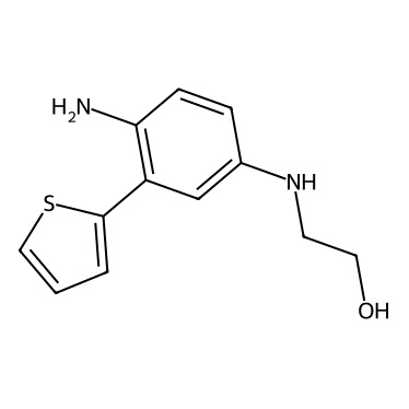 Nc1ccc(NCCO)cc1-c1cccs1